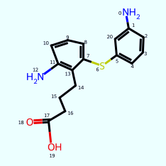 Nc1cccc(Sc2cccc(N)c2CCCC(=O)O)c1